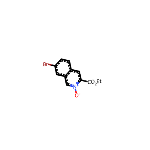 CCOC(=O)c1cc2ccc(Br)cc2c[n+]1[O-]